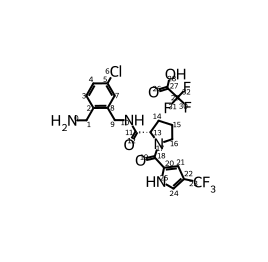 NCc1ccc(Cl)cc1CNC(=O)[C@@H]1CCCN1C(=O)c1cc(C(F)(F)F)c[nH]1.O=C(O)C(F)(F)F